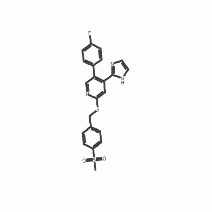 CS(=O)(=O)c1ccc(CSc2cc(-c3ncc[nH]3)c(-c3ccc(F)cc3)cn2)cc1